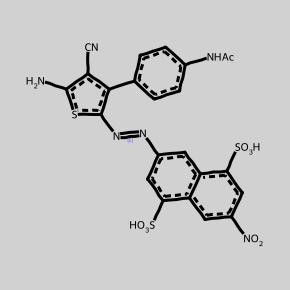 CC(=O)Nc1ccc(-c2c(/N=N/c3cc(S(=O)(=O)O)c4cc([N+](=O)[O-])cc(S(=O)(=O)O)c4c3)sc(N)c2C#N)cc1